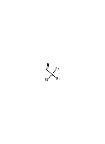 C=CS(CC)(CC)CC